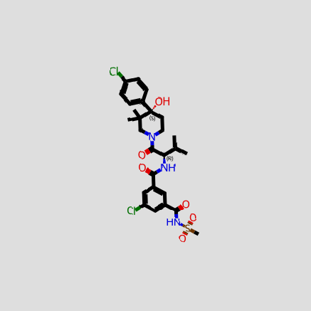 CC(C)[C@@H](NC(=O)c1cc(Cl)cc(C(=O)NS(C)(=O)=O)c1)C(=O)N1CC[C@](O)(c2ccc(Cl)cc2)C(C)(C)C1